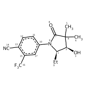 CC[C@@H]1[C@H](O)C(C)(C)C(=O)N1c1ccc(C#N)c(C(F)(F)F)c1